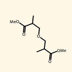 COC(=O)C(C)COCC(C)C(=O)OC